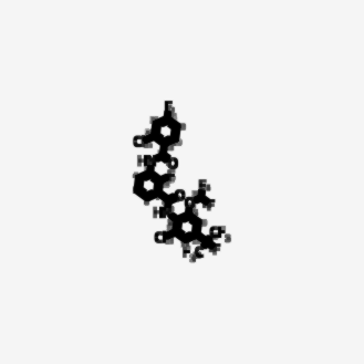 O=C(Nc1cccc(C(=O)Nc2c(Cl)cc(C(F)(C(F)(F)F)C(F)(F)F)cc2OC(F)F)c1F)c1ccc(F)cc1Cl